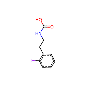 O=C(O)NCCc1ccccc1I